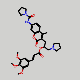 COc1cc(C=CC(=O)OC(Cc2c(C)c3ccc(NC(=O)N4CCCC4)cc3oc2=O)CN2CCCC2)cc(OC)c1OC